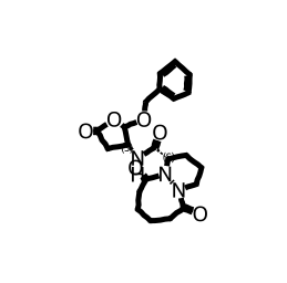 O=C1C[C@H](NC(=O)[C@@H]2CCCN3C(=O)CCCCC(=O)N23)C(OCc2ccccc2)O1